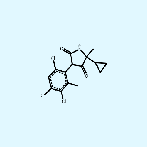 Cc1c(Cl)c(Cl)cc(Cl)c1C1C(=O)NC(C)(C2CC2)C1=O